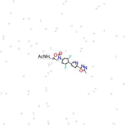 CC(=O)NC[C@H]1CN(c2cc(F)c(-c3ccc(-c4nnc(C)o4)nc3)c(F)c2)C(=O)O1